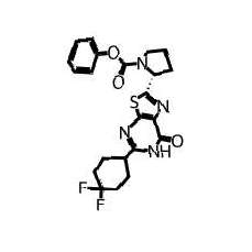 O=C(Oc1ccccc1)N1CCC[C@@H]1c1nc2c(=O)[nH]c(C3CCC(F)(F)CC3)nc2s1